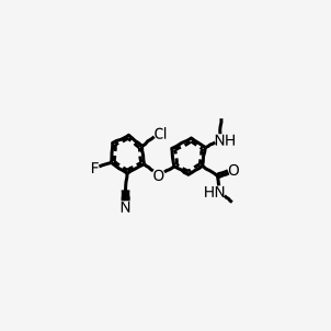 CNC(=O)c1cc(Oc2c(Cl)ccc(F)c2C#N)ccc1NC